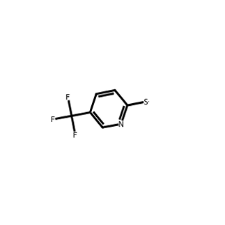 FC(F)(F)c1ccc([S])nc1